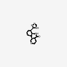 O=c1[nH]c2c(-c3nnc[nH]3)cccc2c2cnccc12